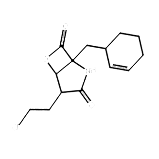 O=C1NC2(CC3C=CCCC3)C(=O)OC2C1CCCl